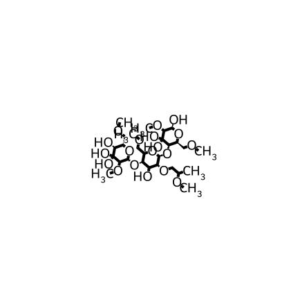 COCC1O[C@@H](O[C@@H]2[C@H](COC)O[C@@H](O)C(OC)C2(O)O)[C@@H](OCC(C)OC)C(O)[C@@H]1O[C@@H]1O[C@@H](COC)[C@@H](O)C(O)(O)C1OC